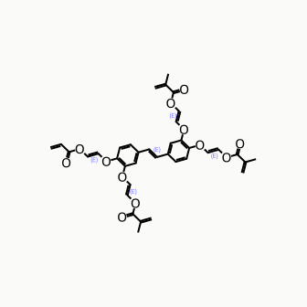 C=CC(=O)O/C=C/Oc1ccc(/C=C/c2ccc(O/C=C/OC(=O)C(=C)C)c(O/C=C/OC(=O)C(=C)C)c2)cc1O/C=C/OC(=O)C(=C)C